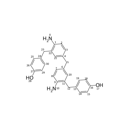 Nc1ccc(Cc2ccc(N)c(Cc3ccc(O)cc3)c2)cc1Cc1ccc(O)cc1